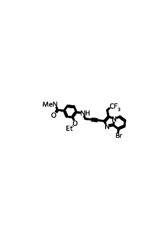 CCOc1cc(C(=O)NC)ccc1NCC#Cc1nc2c(Br)cccn2c1CC(F)(F)F